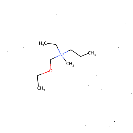 CCC[N+](C)(CC)COCC